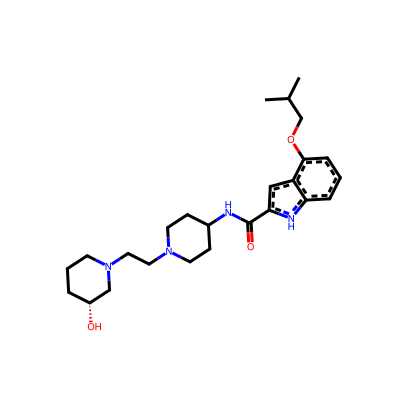 CC(C)COc1cccc2[nH]c(C(=O)NC3CCN(CCN4CCC[C@@H](O)C4)CC3)cc12